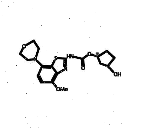 COc1ccc(N2CCOCC2)c2sc(NC(=O)O[C@H]3CCC(O)C3)nc12